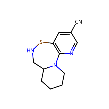 N#Cc1cnc2c(c1)SNCC1CCCCN21